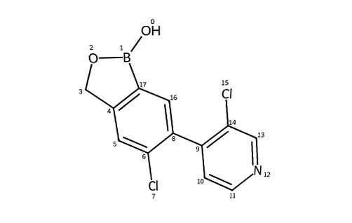 OB1OCc2cc(Cl)c(-c3ccncc3Cl)cc21